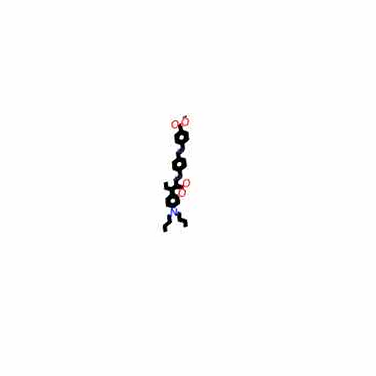 CCCCN(CCCC)c1ccc2c(CC)c(/C=C/c3ccc(/C=C/c4ccc(C(=O)OC)cc4)cc3)c(=O)oc2c1